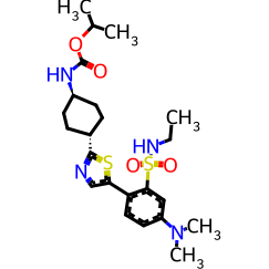 CCNS(=O)(=O)c1cc(N(C)C)ccc1-c1cnc([C@H]2CC[C@H](NC(=O)OC(C)C)CC2)s1